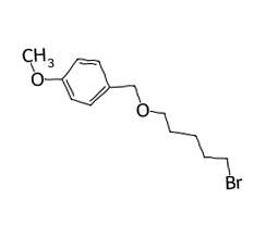 COc1ccc(COCCCCCBr)cc1